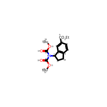 CCOC(=O)c1ccc2c(c1)C(N(C(=O)OC(C)(C)C)C(=O)OC(C)(C)C)CC2